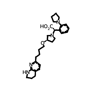 O=C(O)[C@@H](c1ccccc1N1CCCC1)N1CC[C@@H](OCCCCc2ccc3c(n2)NCCC3)C1